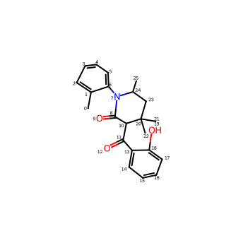 Cc1ccccc1N1C(=O)C(C(=O)c2ccccc2O)C(C)(C)CC1C